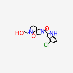 O=C(c1cc2c(Cl)cccc2[nH]1)N1CCC2(CCCN(CCO)C2=O)C1